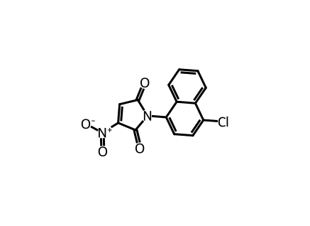 O=C1C=C([N+](=O)[O-])C(=O)N1c1ccc(Cl)c2ccccc12